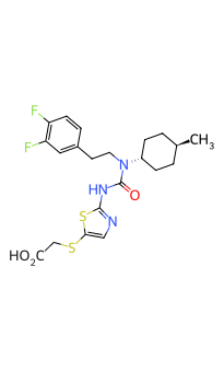 C[C@H]1CC[C@H](N(CCc2ccc(F)c(F)c2)C(=O)Nc2ncc(SCC(=O)O)s2)CC1